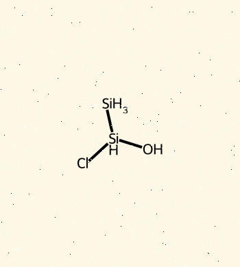 O[SiH]([SiH3])Cl